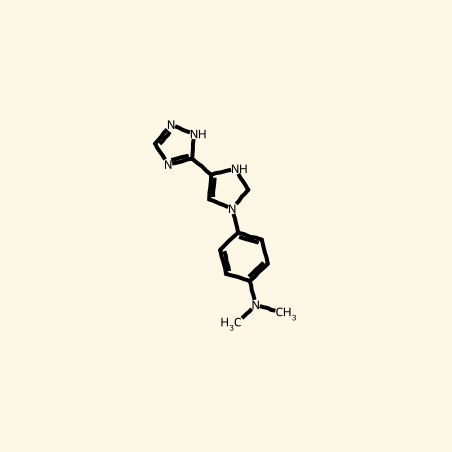 CN(C)c1ccc(N2C=C(c3ncn[nH]3)NC2)cc1